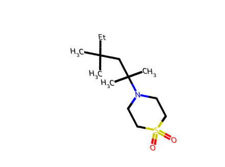 CCC(C)(C)CC(C)(C)N1CCS(=O)(=O)CC1